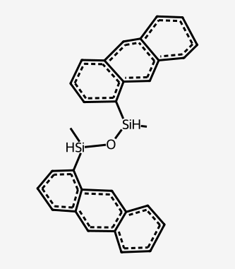 C[SiH](O[SiH](C)c1cccc2cc3ccccc3cc12)c1cccc2cc3ccccc3cc12